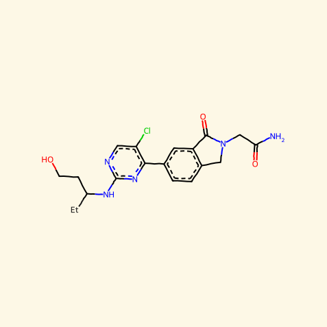 CCC(CCO)Nc1ncc(Cl)c(-c2ccc3c(c2)C(=O)N(CC(N)=O)C3)n1